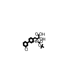 CC(C)(C)OC(=O)NC(Cc1ccc(-c2cccc(Cl)c2)cc1)[C@@H](O)C(=O)O